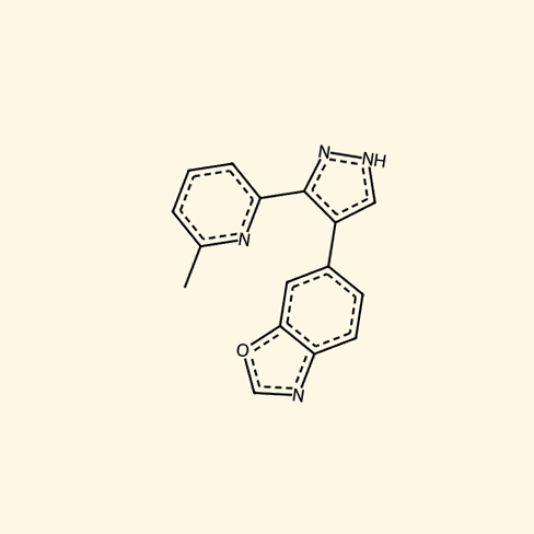 Cc1cccc(-c2n[nH]cc2-c2ccc3ncoc3c2)n1